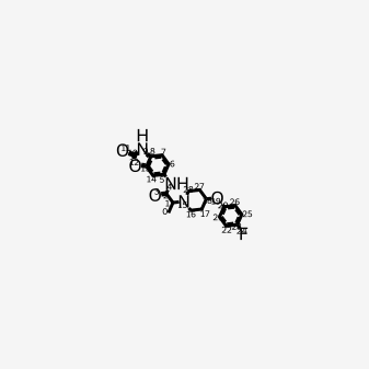 CC(C(=O)Nc1ccc2[nH]c(=O)oc2c1)N1CCC(Oc2ccc(F)cc2)CC1